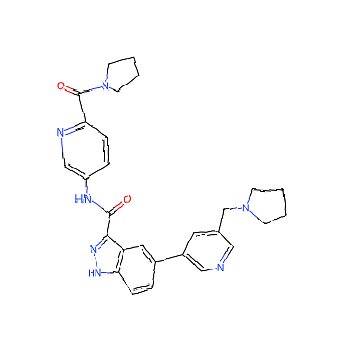 O=C(Nc1ccc(C(=O)N2CCCC2)nc1)c1n[nH]c2ccc(-c3cncc(CN4CCCC4)c3)cc12